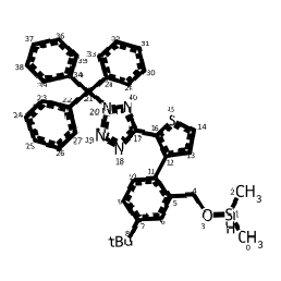 C[SiH](C)OCc1cc(C(C)(C)C)ccc1-c1ccsc1-c1nnn(C(c2ccccc2)(c2ccccc2)c2ccccc2)n1